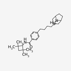 CN1C2CCC1CN(CCCCc1ccc(C(=O)NC3C(C)(C)CC3(C)C)cc1)C2